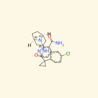 NC(=O)c1cccnc1N1[C@@H]2CC[C@H]1C[C@@H](NC(=O)C1(c3ccc(Cl)cc3)CC1)C2